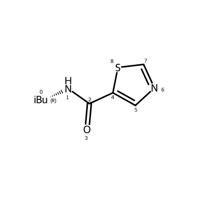 CC[C@@H](C)NC(=O)c1cncs1